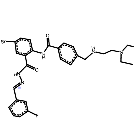 CCN(CC)CCNCc1ccc(C(=O)Nc2ccc(Br)cc2C(=O)N/N=C/c2cccc(F)c2)cc1